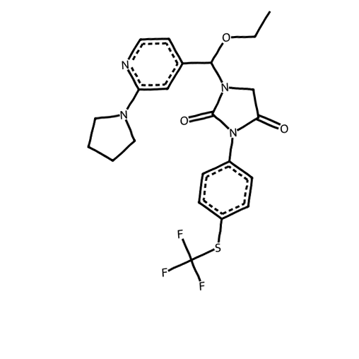 CCOC(c1ccnc(N2CCCC2)c1)N1CC(=O)N(c2ccc(SC(F)(F)F)cc2)C1=O